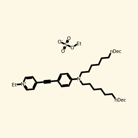 CCCCCCCCCCCCCCCCN(CCCCCCCCCCCCCCCC)c1ccc(C#Cc2cc[n+](CC)cc2)cc1.CCOS(=O)(=O)[O-]